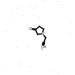 C#CCN1CCC(=O)C1